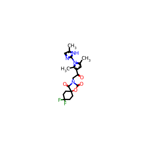 Cc1cnc(-n2c(C)cc(C(=O)CN3C(=O)OC4(CCC(F)(F)CC4)C3=O)c2C)[nH]1